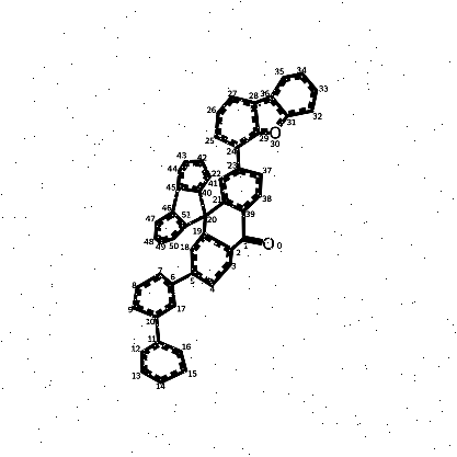 O=C1c2ccc(-c3cccc(-c4ccccc4)c3)cc2C2(c3cc(-c4cccc5c4oc4ccccc45)ccc31)c1ccccc1-c1ccccc12